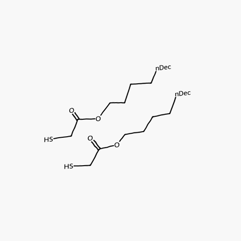 CCCCCCCCCCCCCCOC(=O)CS.CCCCCCCCCCCCCCOC(=O)CS